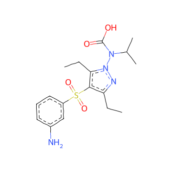 CCc1nn(N(C(=O)O)C(C)C)c(CC)c1S(=O)(=O)c1cccc(N)c1